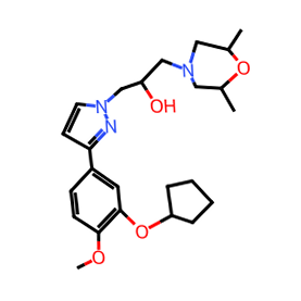 COc1ccc(-c2ccn(CC(O)CN3CC(C)OC(C)C3)n2)cc1OC1CCCC1